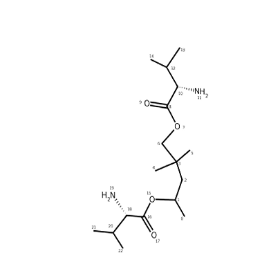 CC(CC(C)(C)COC(=O)[C@@H](N)C(C)C)OC(=O)[C@@H](N)C(C)C